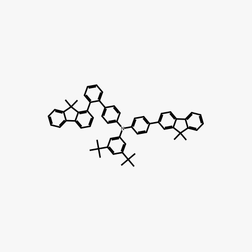 CC(C)(C)c1cc(N(c2ccc(-c3ccc4c(c3)C(C)(C)c3ccccc3-4)cc2)c2ccc(-c3ccccc3-c3cccc4c3C(C)(C)c3ccccc3-4)cc2)cc(C(C)(C)C)c1